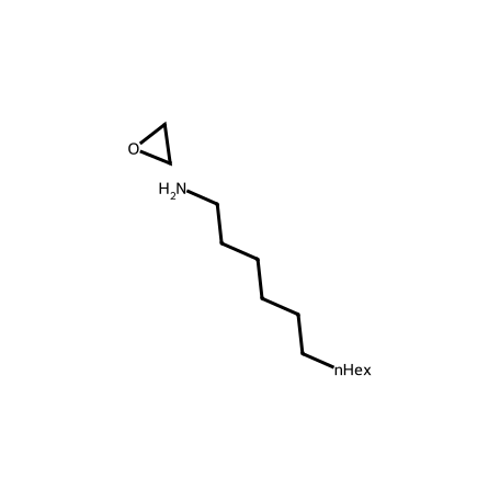 C1CO1.CCCCCCCCCCCCN